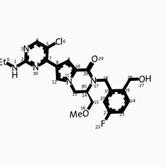 CCNc1ncc(Cl)c(-c2cc3n(c2)C[C@H](COC)N(Cc2cc(F)ccc2CO)C3=O)n1